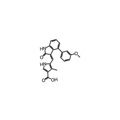 COc1cccc(-c2cccc3c2/C(=C/c2[nH]cc(C(=O)O)c2C)C(=O)N3)c1